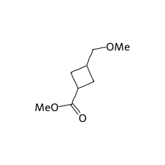 COCC1CC(C(=O)OC)C1